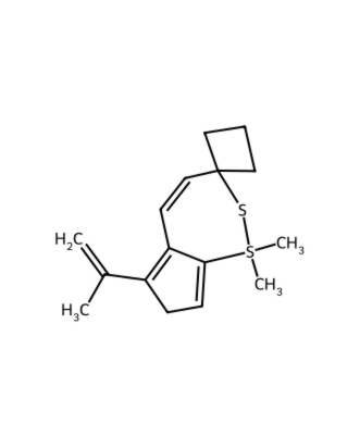 C=C(C)C1=C2C=CC3(CCC3)SS(C)(C)C2=CC1